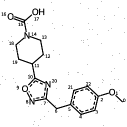 COc1ccc(Cc2noc(C3CCN(C(=O)O)CC3)n2)cc1